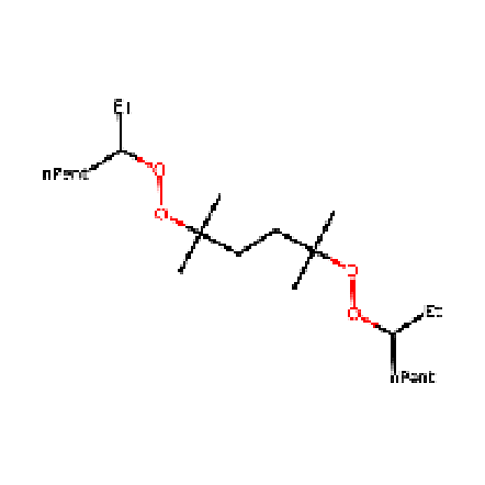 CCCCCC(CC)OOC(C)(C)CCC(C)(C)OOC(CC)CCCCC